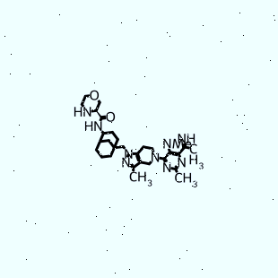 CNc1c(C(C)=N)nc(C)nc1N1CCc2c(c(C)nn2CC23CCCC(C2)C(NC(=O)[C@@H]2COCCN2)CC3)C1